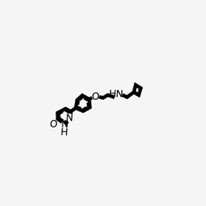 O=c1ccc(-c2ccc(OCCCNCC3CCC3)cc2)n[nH]1